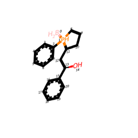 B[PH]1(c2ccccc2)CCCC1C[C@@H](O)c1ccccc1